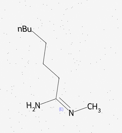 CCCCCCC/C(N)=N\C